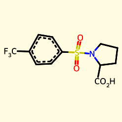 O=C(O)C1CCCN1S(=O)(=O)c1ccc(C(F)(F)F)cc1